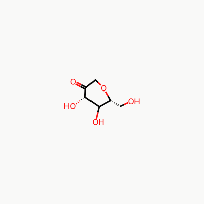 O=C1CO[C@H](CO)C(O)[C@@H]1O